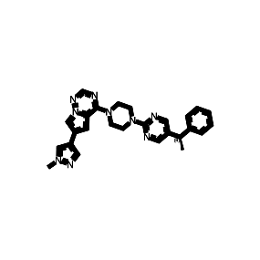 C[C@H](c1ccccc1)c1cnc(N2CCN(c3ncnn4cc(-c5cnn(C)c5)cc34)CC2)nc1